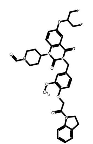 COc1cc(Cn2c(=O)c3cc(OC(CF)CF)ccc3n(C3CCN(C=O)CC3)c2=O)ccc1OCC(=O)N1CCc2ccccc21